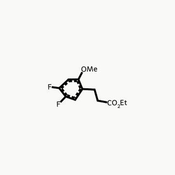 CCOC(=O)CCc1cc(F)c(F)cc1OC